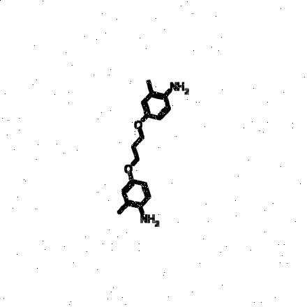 Cc1cc(OCCCOc2ccc(N)c(C)c2)ccc1N